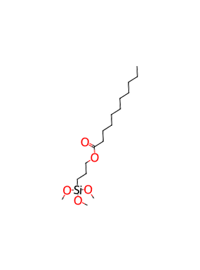 CCCCCCCCCCC(=O)OCCC[Si](OC)(OC)OC